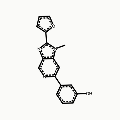 Cn1c(-c2ccco2)nc2cnc(-c3cccc(O)c3)cc21